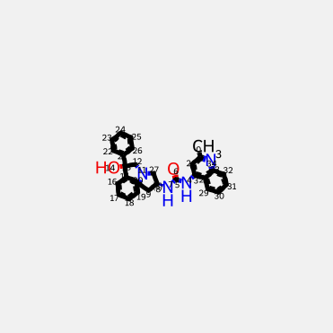 Cc1cc(NC(=O)N[C@H]2CCN(CC(O)(c3ccccc3)c3ccccc3)C2)c2ccccc2n1